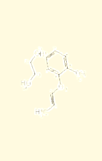 C/C=C/Oc1ccccc1O.OCCO